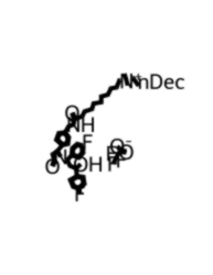 CCCCCCCCCCCC[N+](C)(C)CCCCCCCCCCC(=O)NCc1ccc(C2CC(=O)N2C(CC(O)c2ccc(F)cc2)c2ccc(F)cc2)cc1.O=C([O-])C(F)(F)F